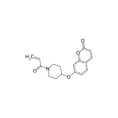 C=CC(=O)N1CCC(Oc2ccc3ccc(=O)oc3c2)CC1